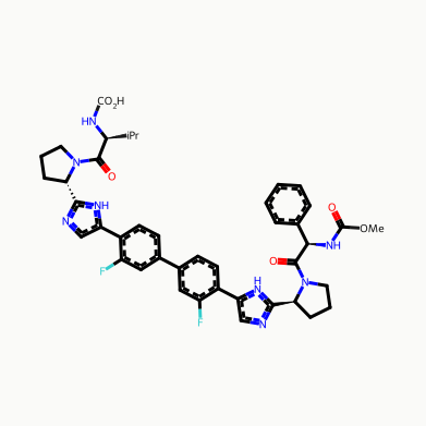 COC(=O)N[C@@H](C(=O)N1CCC[C@H]1c1ncc(-c2ccc(-c3ccc(-c4cnc([C@@H]5CCCN5C(=O)[C@@H](NC(=O)O)C(C)C)[nH]4)c(F)c3)cc2F)[nH]1)c1ccccc1